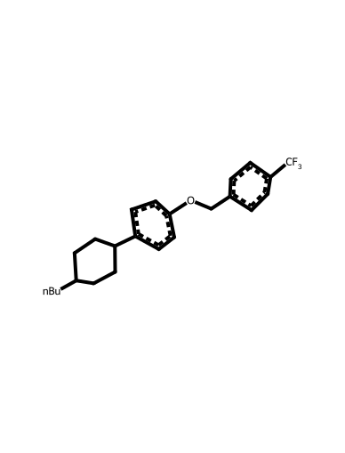 CCCCC1CCC(c2ccc(OCc3ccc(C(F)(F)F)cc3)cc2)CC1